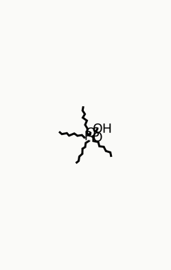 CCCCCCCCP(CCCCCCCC)(CCCCCCCC)(CCCCCCCC)OS(=O)O